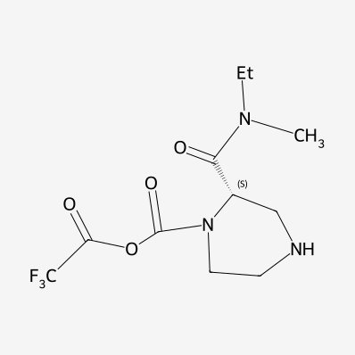 CCN(C)C(=O)[C@@H]1CNCCN1C(=O)OC(=O)C(F)(F)F